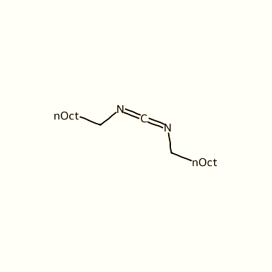 CCCCCCCCCN=C=NCCCCCCCCC